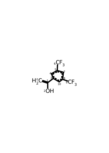 C=C(O)c1cc(C(F)(F)F)cc(C(F)(F)F)c1